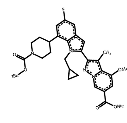 COC(=O)c1cc(OC)c2c(C)c(-c3cc4cc(F)cc(C5CCN(C(=O)OC(C)(C)C)CC5)c4n3CC3CC3)nn2c1